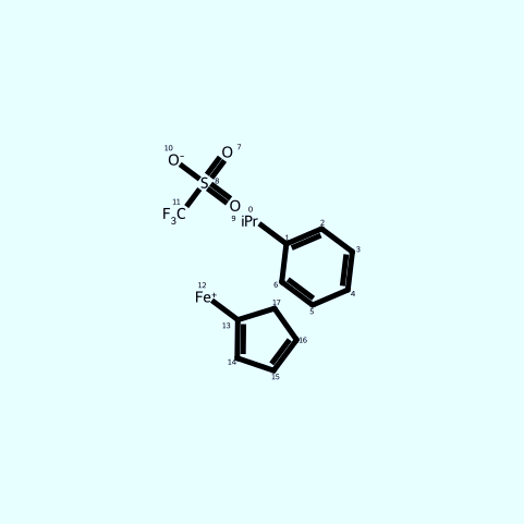 CC(C)c1ccccc1.O=S(=O)([O-])C(F)(F)F.[Fe+][C]1=CC=CC1